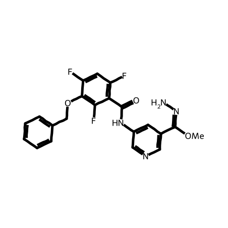 CO/C(=N/N)c1cncc(NC(=O)c2c(F)cc(F)c(OCc3ccccc3)c2F)c1